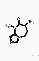 CN1C(=O)C(N)CCn2cncc21